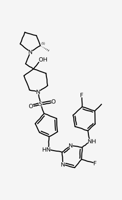 Cc1cc(Nc2nc(Nc3ccc(S(=O)(=O)N4CCC(O)(CN5CCC[C@@H]5C)CC4)cc3)ncc2F)ccc1F